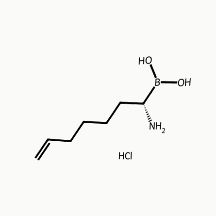 C=CCCCC[C@@H](N)B(O)O.Cl